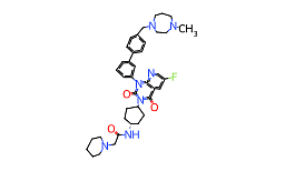 CN1CCCN(Cc2ccc(-c3cccc(-n4c(=O)n([C@H]5CC[C@@H](NC(=O)CN6CCCCC6)CC5)c(=O)c5cc(F)cnc54)c3)cc2)CC1